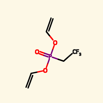 C=COP(=O)(CC(F)(F)F)OC=C